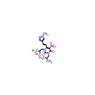 CC(C)Cn1c(/C=C/c2cnn(C)c2)c([N+](=O)[O-])c(=O)n(CC(C)C)c1=O